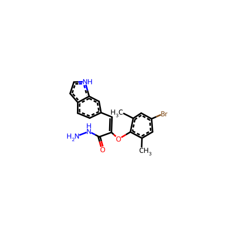 Cc1cc(Br)cc(C)c1O/C(=C/c1ccc2cc[nH]c2c1)C(=O)NN